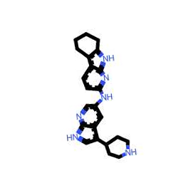 c1nc2[nH]cc(C3CCNCC3)c2cc1Nc1ccc2c3c([nH]c2n1)CCCC3